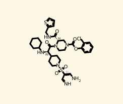 N=C/C(=C\N)S(=O)(=O)N1CCC([C@@H](NC2CCCCC2)C(=O)N2CCN(C(=O)Oc3ccccc3Cl)C[C@H]2C(=O)NCc2cccs2)CC1